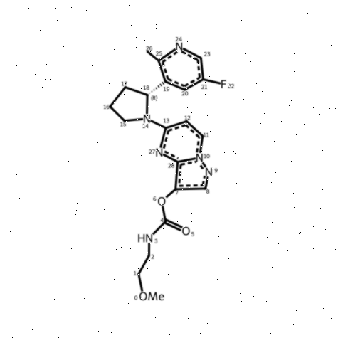 COCCNC(=O)Oc1cnn2ccc(N3CCC[C@@H]3c3cc(F)cnc3C)nc12